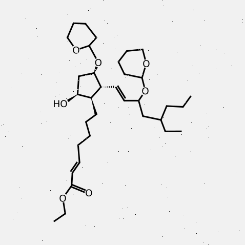 CCCC(CC)CC(/C=C/[C@@H]1[C@@H](CCCC/C=C/C(=O)OCC)[C@@H](O)C[C@H]1OC1CCCCO1)OC1CCCCO1